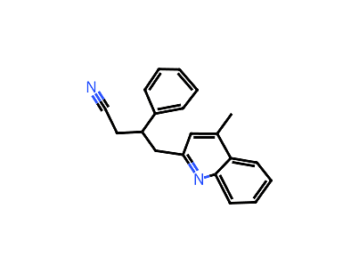 Cc1cc(CC(CC#N)c2ccccc2)nc2ccccc12